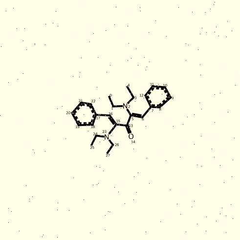 CCN(CC)C(=Cc1ccccc1)C(=O)C(=Cc1ccccc1)N(CC)CC